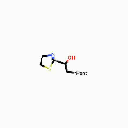 CCCCCCC(O)C1=NCCS1